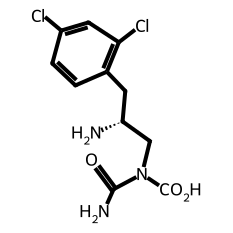 NC(=O)N(C[C@H](N)Cc1ccc(Cl)cc1Cl)C(=O)O